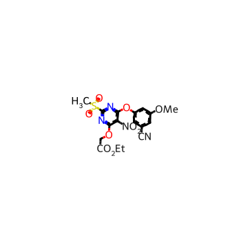 CCOC(=O)COc1nc(S(C)(=O)=O)nc(Oc2cc(C#N)cc(OC)c2)c1[N+](=O)[O-]